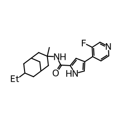 CCC1CC2CC(C1)CC(C)(NC(=O)c1cc(-c3ccncc3F)c[nH]1)C2